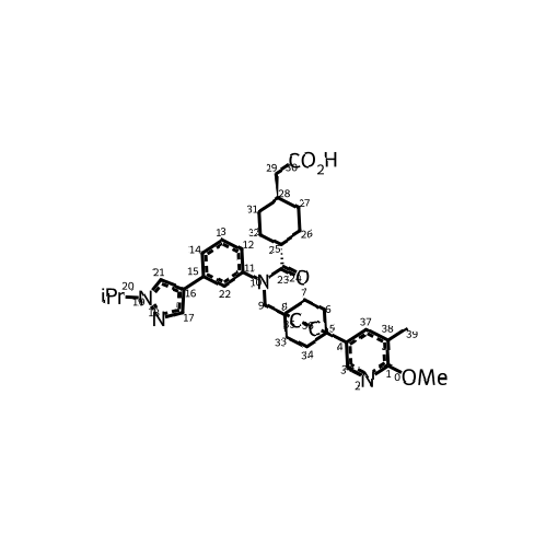 COc1ncc(C23CCC(CN(c4cccc(-c5cnn(C(C)C)c5)c4)C(=O)[C@H]4CC[C@H](CC(=O)O)CC4)(CC2)CC3)cc1C